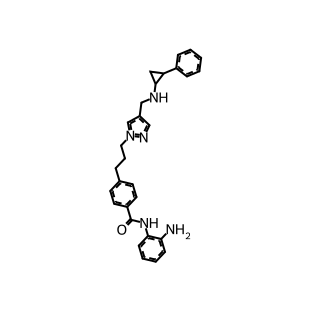 Nc1ccccc1NC(=O)c1ccc(CCCn2cc(CNC3CC3c3ccccc3)cn2)cc1